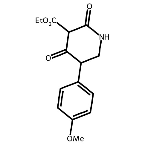 CCOC(=O)C1C(=O)NCC(c2ccc(OC)cc2)C1=O